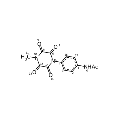 CC(=O)Nc1ccc(N2C(=O)C(=O)N(C)C(=O)C2=O)cc1